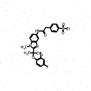 CCS(=O)(=O)c1ccc(CC(=O)Nc2ccc3c(c2)nc(C(C)(C)Oc2ccc(F)cc2F)n3C)cc1